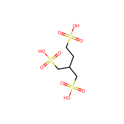 O=S(=O)(O)CCC(CS(=O)(=O)O)CS(=O)(=O)O